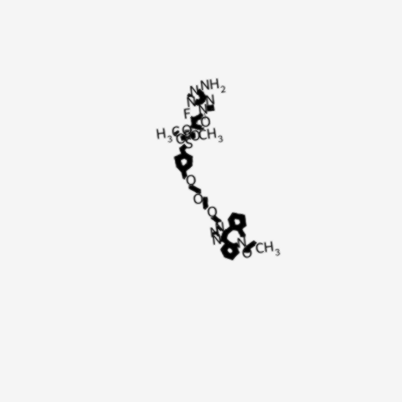 CCC(=O)N1Cc2ccccc2-c2c(nnn2CCOCCOCCOCc2ccc(CSP(=O)(OC)O[C@@H]3C(C)O[C@@H](n4cnc5c(N)ncnc54)[C@@H]3F)cc2)-c2ccccc21